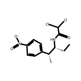 CC[C@@H](NC(=O)C(Cl)Cl)[C@H](C)c1ccc([N+](=O)[O-])cc1